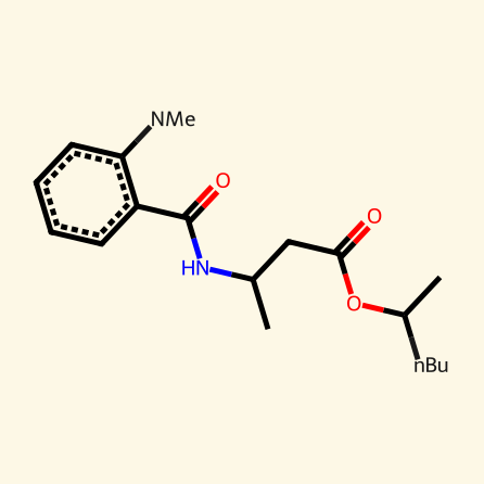 CCCCC(C)OC(=O)CC(C)NC(=O)c1ccccc1NC